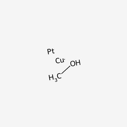 CO.[Cu].[Pt]